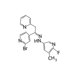 Cc1cc(NN=C(Cc2ccccn2)c2ccnc(Br)c2)cnc1F